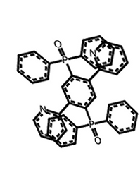 O=P(c1ccccc1)(c1ccccc1)c1cc(-c2ccccn2)c(P(=O)(c2ccccc2)c2ccccc2)cc1-c1ccccn1